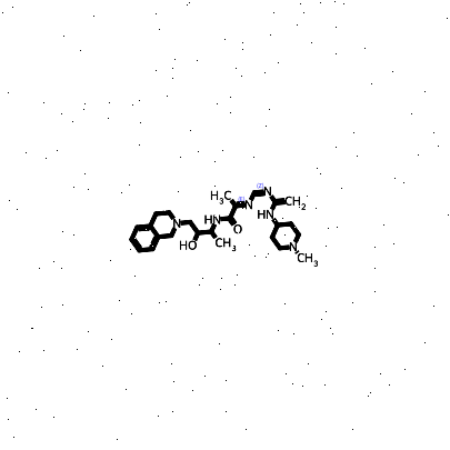 C=C(/N=C\N=C(/C)C(=O)NC(C)C(O)CN1CCc2ccccc2C1)NC1CCN(C)CC1